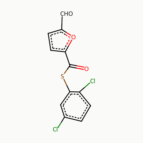 O=Cc1ccc(C(=O)Sc2cc(Cl)ccc2Cl)o1